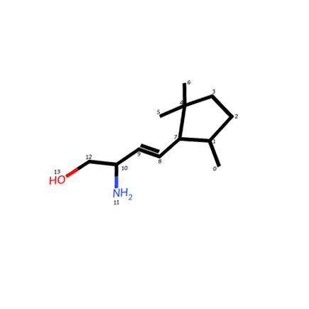 CC1CCC(C)(C)C1C=CC(N)CO